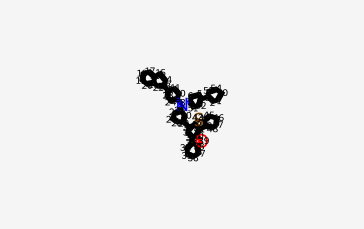 c1ccc(-c2ccc(N(c3ccc(-c4ccc5ccccc5c4)cc3)c3cccc(-c4cc5c6ccccc6oc5c5c4sc4ccccc45)c3)cc2)cc1